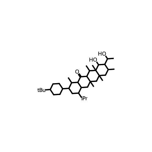 CC(C)C1CC(C2CCC(C(C)(C)C)CC2)C(C)C2C(=O)C3C(C)C4(C)C(O)C(C(C)O)C(C)CC4(C)CC3(C)CC12